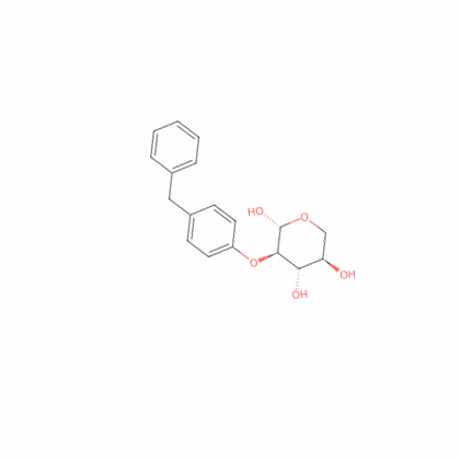 O[C@@H]1[C@@H](Oc2ccc(Cc3ccccc3)cc2)[C@H](O)OC[C@H]1O